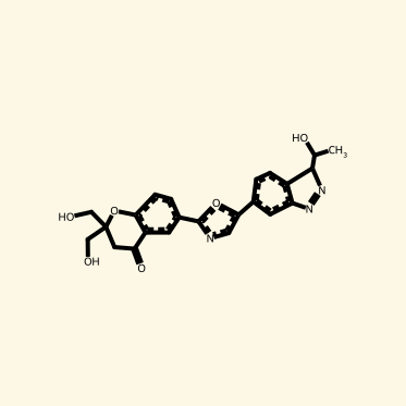 CC(O)C1N=Nc2cc(-c3cnc(-c4ccc5c(c4)C(=O)CC(CO)(CO)O5)o3)ccc21